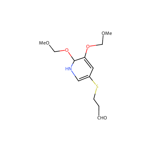 COCOC1=CC(SCCC=O)=CNC1OCOC